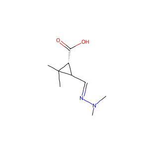 CN(C)N=CC1[C@@H](C(=O)O)C1(C)C